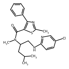 Cc1nc(-c2ccccc2)c(C(=O)N(C)C(CNc2ccc(Cl)cn2)CC(C)C)s1